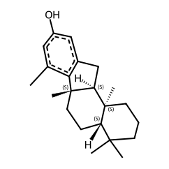 Cc1cc(O)cc2c1[C@@]1(C)CC[C@H]3C(C)(C)CCC[C@]3(C)[C@@H]1C2